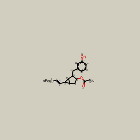 CCCCC/C=C/C1C2CC(OC(=O)C(C)(C)C)C(Cc3cccc(O)c3)C12